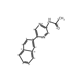 CC(=O)Nc1cnc(-c2ccc3ccccc3c2)cn1